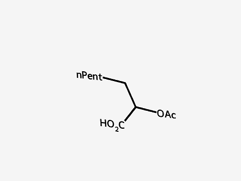 CCCCCCC(OC(C)=O)C(=O)O